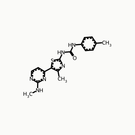 CNc1nccc(-c2sc(NC(=O)Nc3ccc(C)cc3)nc2C)n1